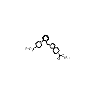 CCOC(=O)C1CCN(c2ccccc2CN2CCC3(CCN(C(=O)OC(C)(C)C)CC3)C2)CC1